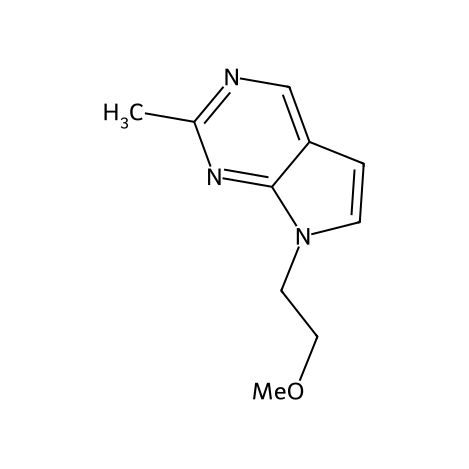 COCCn1ccc2cnc(C)nc21